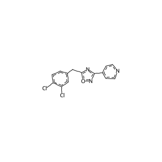 Clc1ccc(Cc2nc(-c3ccncc3)no2)cc1Cl